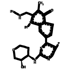 Cc1c(CNC(C)C)n(C(C)C)c2cc(-c3nc(N[C@@H]4CCOC[C@H]4O)ncc3F)ccc2c1=O